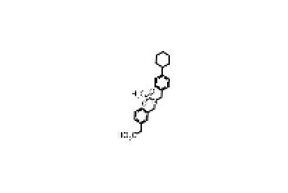 CS(=O)(=O)N(Cc1ccc(C2CCCCC2)cc1)Cc1cccc(CC(=O)O)c1